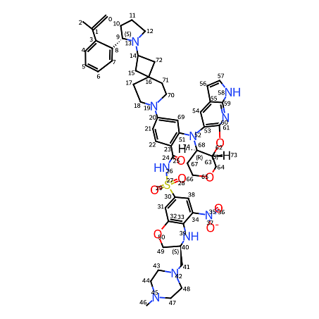 C=C(C)c1ccccc1[C@@H]1CCCN1C1CC2(CCN(c3ccc(C(=O)NS(=O)(=O)c4cc5c(c([N+](=O)[O-])c4)N[C@@H](CN4CCN(C)CC4)CO5)c(N4c5cc6cc[nH]c6nc5O[C@@H]5COCC[C@H]54)c3)CC2)C1